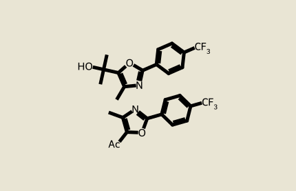 CC(=O)c1oc(-c2ccc(C(F)(F)F)cc2)nc1C.Cc1nc(-c2ccc(C(F)(F)F)cc2)oc1C(C)(C)O